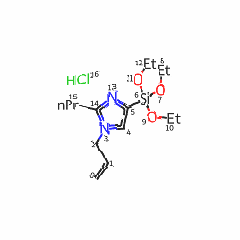 C=CCn1cc([Si](OCC)(OCC)OCC)nc1CCC.Cl